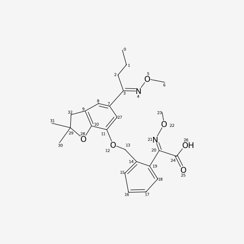 CCC/C(=N\OC)c1cc2c(c(OCc3ccccc3C(=NOC)C(=O)O)c1)OC(C)(C)C2